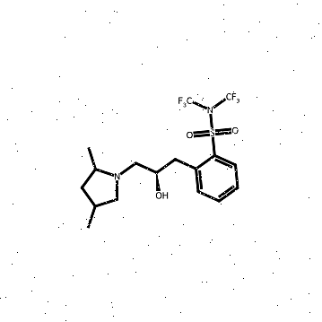 CC1CC(C)N(C[C@H](O)Cc2ccccc2S(=O)(=O)N(C(F)(F)F)C(F)(F)F)C1